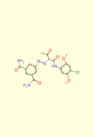 COc1cc(NC(=O)C(N=Nc2cc(C(N)=O)cc(C(N)=O)c2)C(C)=O)c(OC)cc1Cl